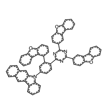 c1ccc2cc3c(cc2c1)c1ccccc1n3-c1ccc(-c2nc(-c3ccc4oc5ccccc5c4c3)nc(-c3ccc4oc5ccccc5c4c3)n2)c(-c2cccc3oc4ccccc4c23)c1